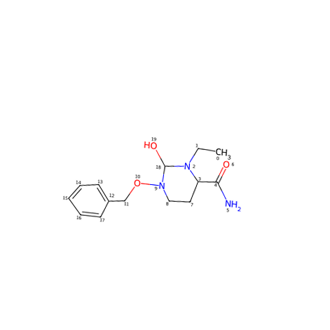 CCN1C(C(N)=O)CCN(OCc2ccccc2)C1O